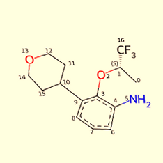 C[C@H](Oc1c(N)cccc1C1CCOCC1)C(F)(F)F